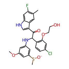 COc1cc(NC(C(=O)c2c[nH]c3cc(F)c(C)cc23)c2ccc(Cl)cc2OCCO)cc([S+](C)[O-])c1